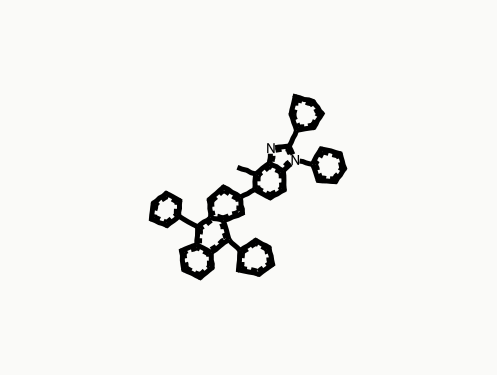 Cc1c(-c2ccc3c(-c4ccccc4)c4ccccc4c(-c4ccccc4)c3c2)ccc2c1nc(-c1ccccc1)n2-c1ccccc1